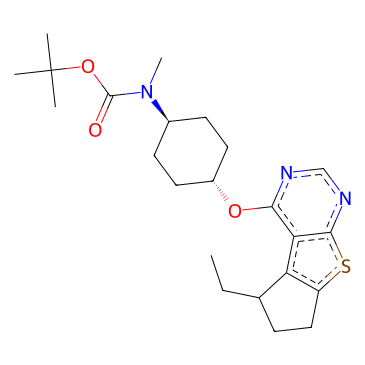 CCC1CCc2sc3ncnc(O[C@H]4CC[C@H](N(C)C(=O)OC(C)(C)C)CC4)c3c21